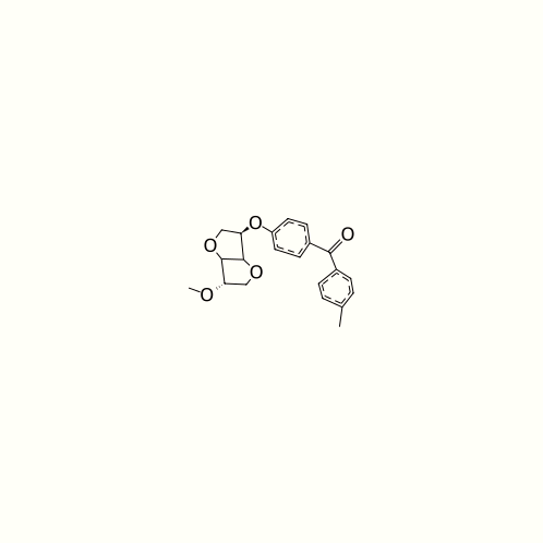 CO[C@H]1COC2C1OC[C@H]2Oc1ccc(C(=O)c2ccc(C)cc2)cc1